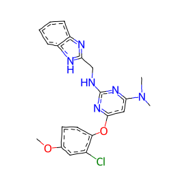 COc1ccc(Oc2cc(N(C)C)nc(NCc3nc4ccccc4[nH]3)n2)c(Cl)c1